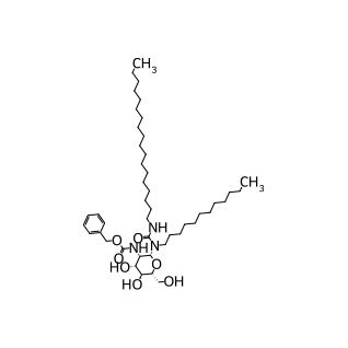 CCCCCCCCCCCCCCCCCCNC(=O)N(CCCCCCCCCCCC)[C@@H]1O[C@H](CO)[C@@H](O)[C@H](O)[C@@H]1NC(=O)OCc1ccccc1